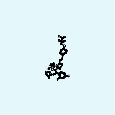 O=P(O)(O)OC(C(Cn1cncn1)c1ccc(F)cc1F)n1cnc(C=Cc2ccc(OCC(F)(F)C(F)F)cc2)n1